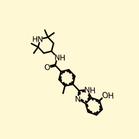 Cc1cc(C(=O)NC2CC(C)(C)NC(C)(C)C2)ccc1-c1nc2cccc(O)c2[nH]1